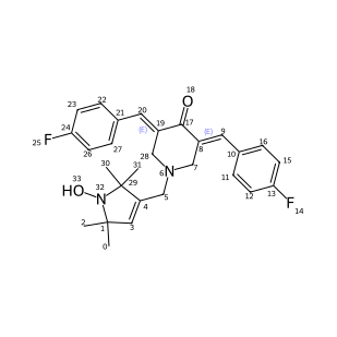 CC1(C)C=C(CN2C/C(=C\c3ccc(F)cc3)C(=O)/C(=C/c3ccc(F)cc3)C2)C(C)(C)N1O